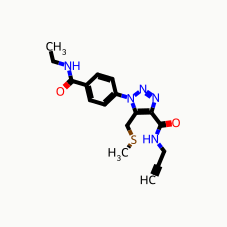 C#CCNC(=O)c1nnn(-c2ccc(C(=O)NCC)cc2)c1CSC